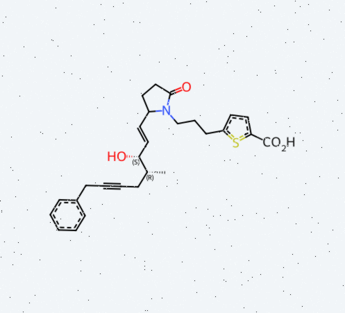 C[C@H](CC#CCc1ccccc1)[C@H](O)C=CC1CCC(=O)N1CCCc1ccc(C(=O)O)s1